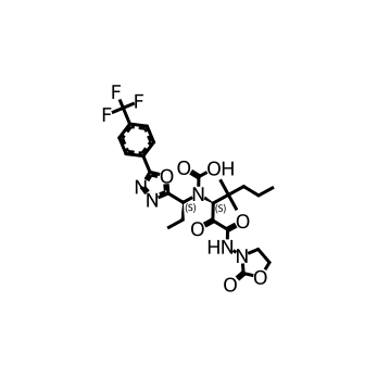 CCCC(C)(C)[C@@H](C(=O)C(=O)NN1CCOC1=O)N(C(=O)O)[C@@H](CC)c1nnc(-c2ccc(C(F)(F)F)cc2)o1